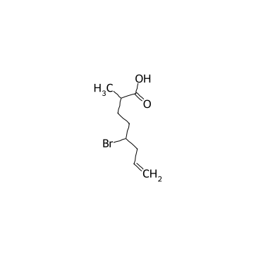 C=CCC(Br)CCC(C)C(=O)O